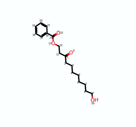 O=C(CCCCCCCCO)CCOC(=O)c1ccccc1